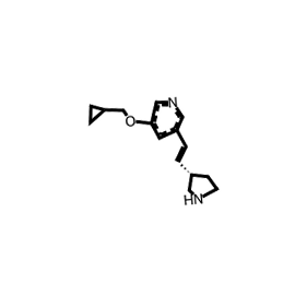 C(=C[C@@H]1CCNC1)c1cncc(OCC2CC2)c1